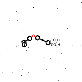 O=C(O)c1ccc(C#Cc2ccc(Oc3ccc(C4C5CC6CC(C5)CC4C6)cc3)cc2)cc1C(=O)O